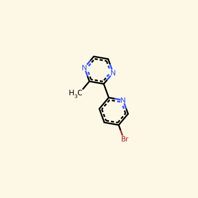 Cc1nccnc1-c1ccc(Br)cn1